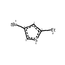 CCc1cc(C(C)(C)C)cs1